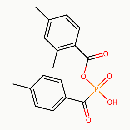 Cc1ccc(C(=O)P(=O)(O)OC(=O)c2ccc(C)cc2C)cc1